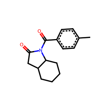 Cc1ccc(C(=O)N2C(=O)CC3CCCCC32)cc1